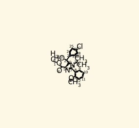 CCOC(=O)c1nc(-c2ccccc2OC)n(C(C)C)c1C(O)c1ccc(Cl)cc1